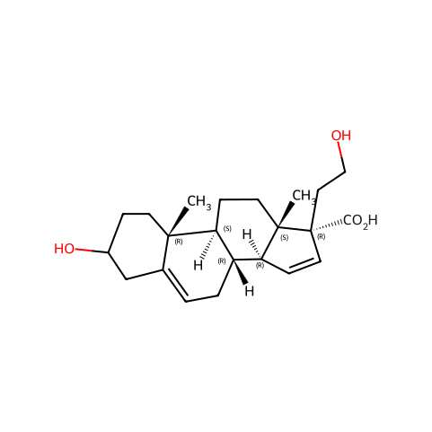 C[C@]12CCC(O)CC1=CC[C@@H]1[C@@H]2CC[C@@]2(C)[C@H]1C=C[C@@]2(CCO)C(=O)O